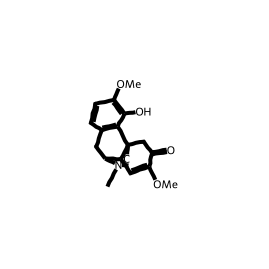 COC1=CC2C3Cc4ccc(OC)c(O)c4C2(CCN3C)CC1=O